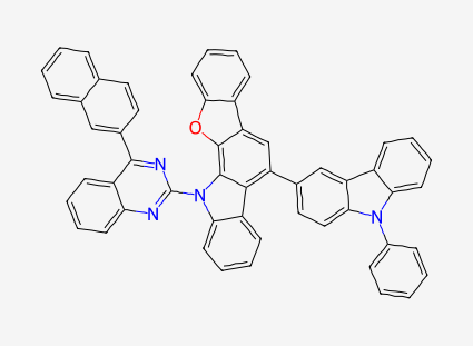 c1ccc(-n2c3ccccc3c3cc(-c4cc5c6ccccc6oc5c5c4c4ccccc4n5-c4nc(-c5ccc6ccccc6c5)c5ccccc5n4)ccc32)cc1